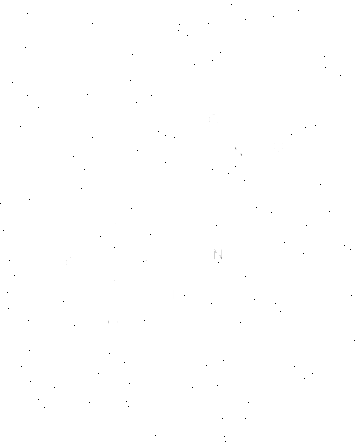 Cn1cc([N+](=O)[O-])cc1C(Cl)(Cl)C(=O)Cl